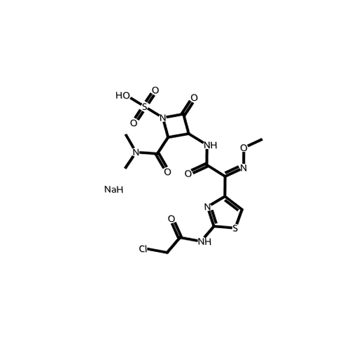 CO/N=C(\C(=O)NC1C(=O)N(S(=O)(=O)O)C1C(=O)N(C)C)c1csc(NC(=O)CCl)n1.[NaH]